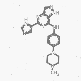 CN1CCN(c2ccc(Nc3nc(-c4cnc[nH]4)nc4cn[nH]c34)cc2)CC1